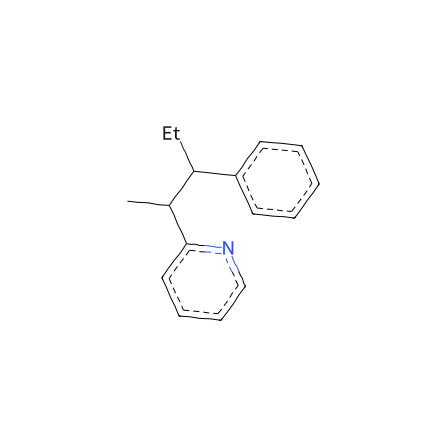 CCC(c1ccccc1)C(C)c1ccccn1